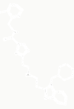 O=C(NCc1ncccc1F)c1coc(CCNCCc2nc3ccccc3n2CC2CCCCC2)n1